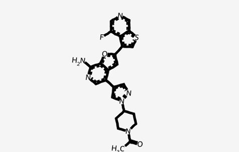 CC(=O)N1CCC(n2cc(-c3cnc(N)c4oc(-c5csc6cncc(F)c56)cc34)cn2)CC1